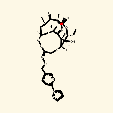 CC[C@H]1OC(=O)[C@H](C)C(=O)[C@H](C)C[C@@]2(C)C[C@@H](C)/C(=N\C(C)=O)[C@H](C)[C@@H](CC/C(=N\OCc3ccc(-n4cccn4)nc3)CO2)[C@]1(C)O